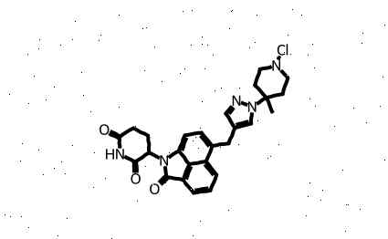 CC1(n2cc(Cc3ccc4c5c(cccc35)C(=O)N4C3CCC(=O)NC3=O)cn2)CCN(Cl)CC1